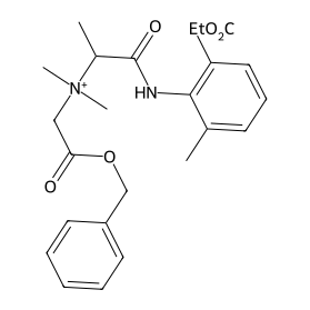 CCOC(=O)c1cccc(C)c1NC(=O)C(C)[N+](C)(C)CC(=O)OCc1ccccc1